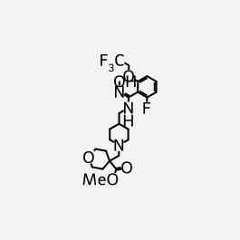 COC(=O)C1(CN2CCC(CNC(=NO)c3c(F)cccc3OCC(F)(F)F)CC2)CCOCC1